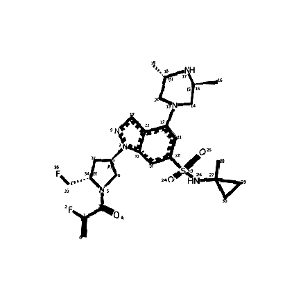 C=C(F)C(=O)N1C[C@H](n2ncc3c(N4C[C@H](C)N[C@@H](C)C4)cc(S(=O)(=O)NC4(C)CC4)cc32)C[C@H]1CF